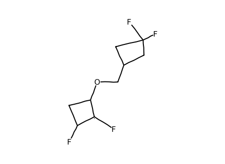 F[C]1C(F)CC1OCC1CC(F)(F)C1